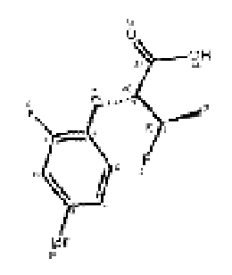 C[C@@H](F)[C@H](Oc1ccc(Br)cc1F)C(=O)O